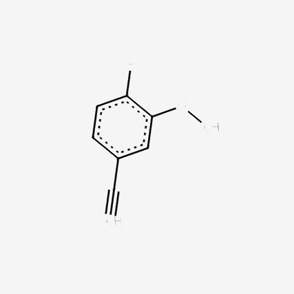 C#Cc1ccc(F)c(OC)c1